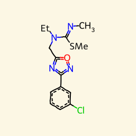 CCN(Cc1nc(-c2cccc(Cl)c2)no1)/C(=N/C)SC